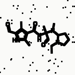 CCN1CCCC1N(C)C(C)(C=O)NC(=O)c1c(C)[nH]c(C=O)c1C